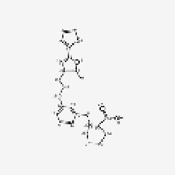 Cc1oc(-c2cccs2)nc1CCOc1cccc(CN2CCCCC2C(=O)O)c1